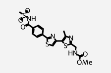 COC(=O)NCc1nc(C)c(-c2csc(-c3ccc(C(=O)NS(C)(=O)=O)cc3)n2)s1